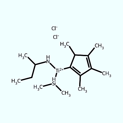 CCC(C)[NH][Ti+2]([C]1=C(C)C(C)=C(C)C1C)[SiH](C)C.[Cl-].[Cl-]